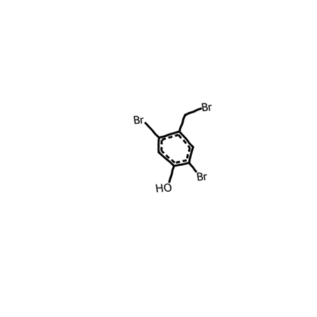 Oc1cc(Br)c(CBr)cc1Br